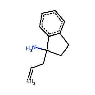 C=CCC1(N)CCc2ccccc21